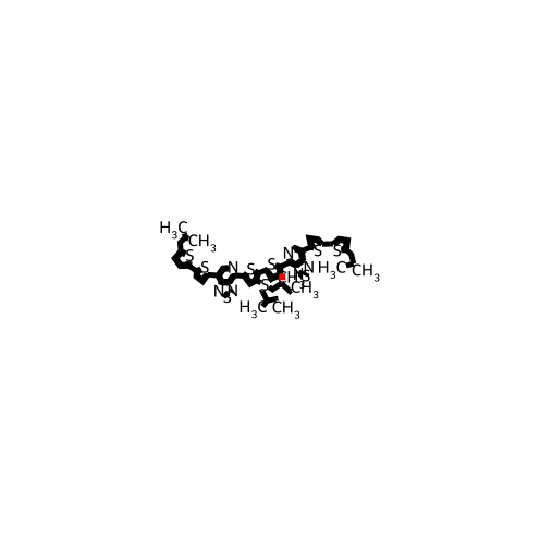 CCC(C)CS1(CC(C)CC)c2cc(-c3ncc(-c4ccc(-c5ccc(CC(C)C)s5)s4)c4nsnc34)sc2-c2sc(-c3ncc(-c4ccc(-c5ccc(CC(C)C)s5)s4)c4nsnc34)cc21